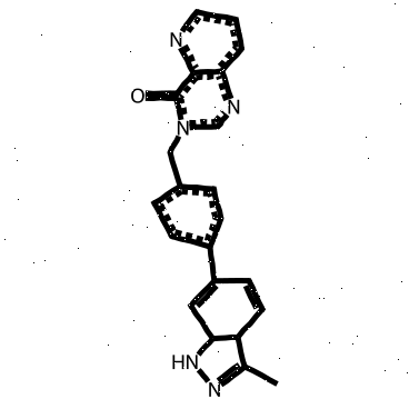 CC1=NNC2C=C(c3ccc(Cn4cnc5cccnc5c4=O)cc3)C=CC12